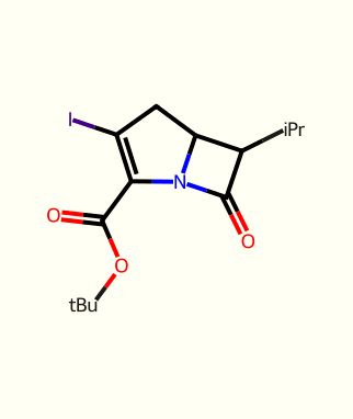 CC(C)C1C(=O)N2C(C(=O)OC(C)(C)C)=C(I)CC12